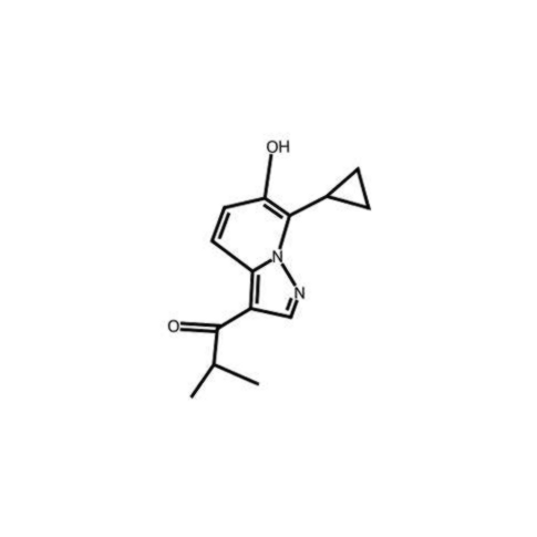 CC(C)C(=O)c1cnn2c(C3CC3)c(O)ccc12